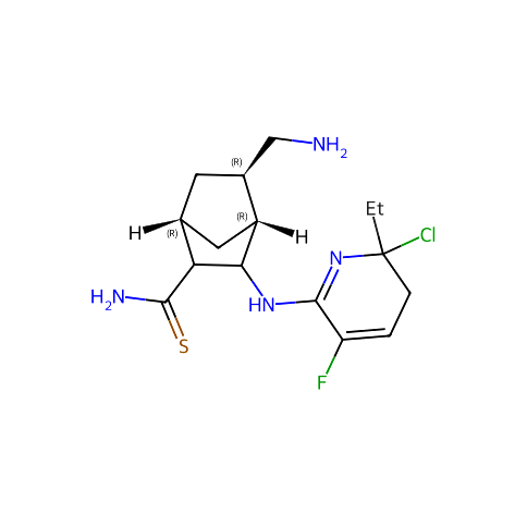 CCC1(Cl)CC=C(F)C(NC2C(C(N)=S)[C@@H]3C[C@@H](CN)[C@H]2C3)=N1